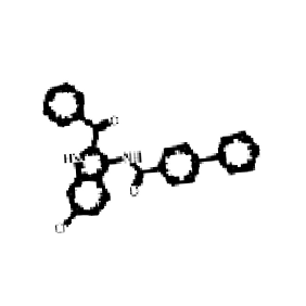 O=C(Nc1c(C(=O)c2ccccc2)[nH]c2cc(Cl)ccc12)c1ccc(-c2ccccc2)cc1